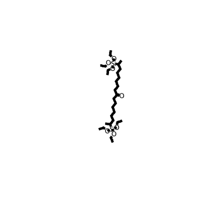 CCO[Si](OCC)(OCC)C(C)CCCCCCC(=O)CCCCCCC(C)[Si](OCC)(OCC)OCC